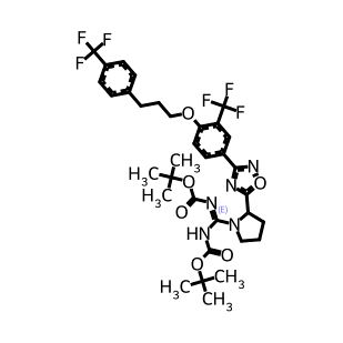 CC(C)(C)OC(=O)/N=C(\NC(=O)OC(C)(C)C)N1CCCC1c1nc(-c2ccc(OCCCc3ccc(C(F)(F)F)cc3)c(C(F)(F)F)c2)no1